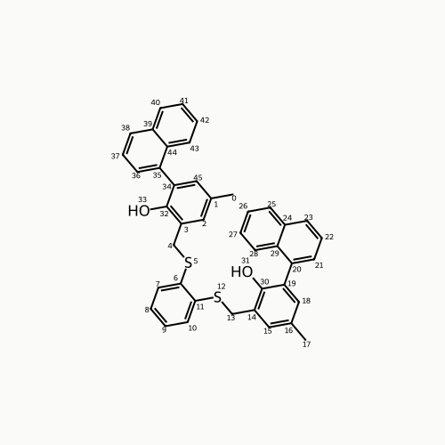 Cc1cc(CSc2ccccc2SCc2cc(C)cc(-c3cccc4ccccc34)c2O)c(O)c(-c2cccc3ccccc23)c1